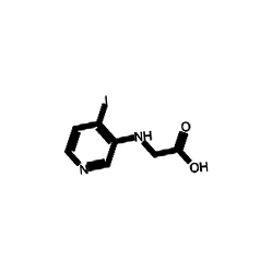 O=C(O)CNc1cnccc1I